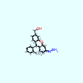 N/N=c1/ccc2c(-c3ccccc3C(=O)O)c3ccc(CO)cc3oc-2c1